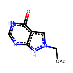 CC(=O)OC[n+]1cc2c(=O)[nH]cnc2[nH]1